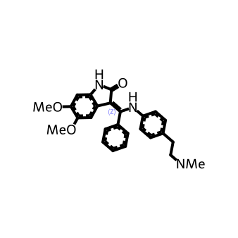 CNCCc1ccc(N/C(=C2\C(=O)Nc3cc(OC)c(OC)cc32)c2ccccc2)cc1